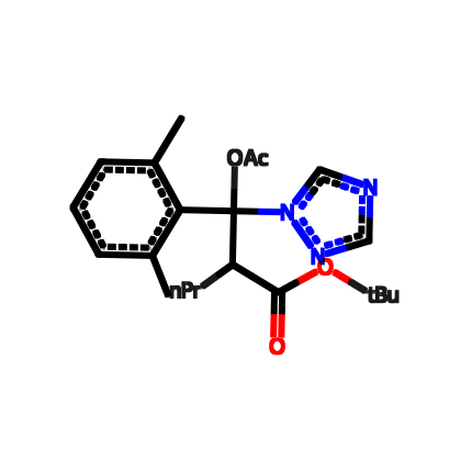 CCCC(C(=O)OC(C)(C)C)C(OC(C)=O)(c1c(C)cccc1C)n1cncn1